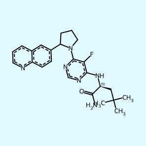 CC(C)(C)C[C@H](Nc1ncnc(N2CCCC2c2ccc3ncccc3c2)c1F)C(N)=O